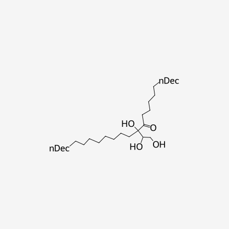 CCCCCCCCCCCCCCCCCCC(O)(C(=O)CCCCCCCCCCCCCCC)C(O)CO